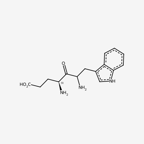 NC(Cc1c[nH]c2ccccc12)C(=O)[C@@H](N)CCC(=O)O